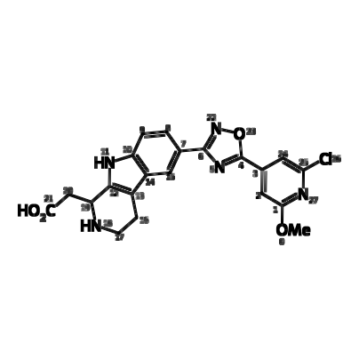 COc1cc(-c2nc(-c3ccc4[nH]c5c(c4c3)CCNC5CC(=O)O)no2)cc(Cl)n1